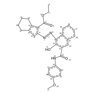 CCOC(=O)c1c(/N=N/c2c(O)c(C(=O)Nc3ccc(OC)cc3)cc3ccccc23)sc2c1CCCC2